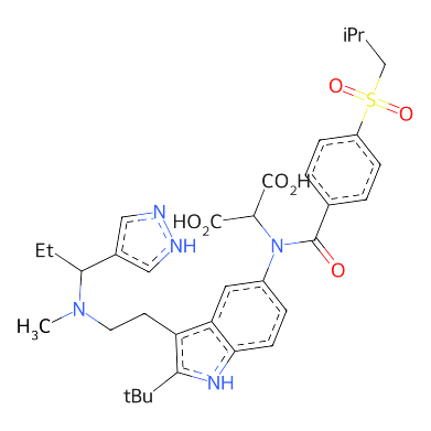 CCC(c1cn[nH]c1)N(C)CCc1c(C(C)(C)C)[nH]c2ccc(N(C(=O)c3ccc(S(=O)(=O)CC(C)C)cc3)C(C(=O)O)C(=O)O)cc12